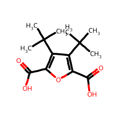 CC(C)(C)c1c(C(=O)O)oc(C(=O)O)c1C(C)(C)C